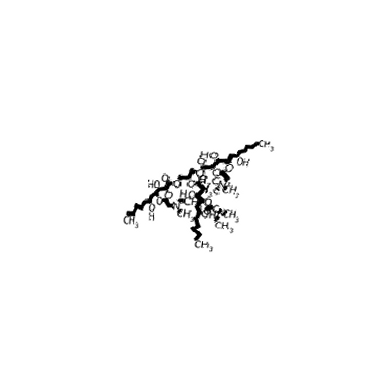 CCCCCCC(O)CC(OC(=O)CN(C)CC)C(O)CC(=O)OCC(COC(=O)CC(O)C(CC(O)CCCCCC)OC(=O)C[N+](C)(C)C)OC(=O)CC(O)C(CC(O)CCCCCC)OC(=O)CN(C)CC